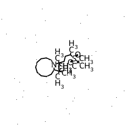 CC(CCC(C)(C)N1CCCCCCCCCC1C(C)(C)C)S(=O)(=O)C(C)(C)C